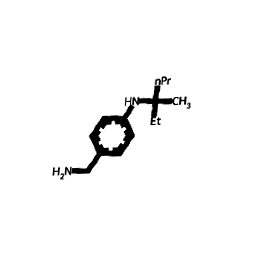 CCCC(C)(CC)Nc1ccc(CN)cc1